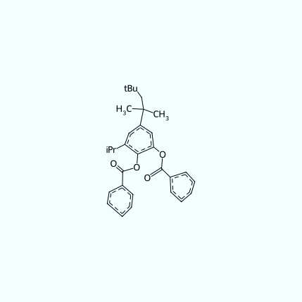 CC(C)c1cc(C(C)(C)CC(C)(C)C)cc(OC(=O)c2ccccc2)c1OC(=O)c1ccccc1